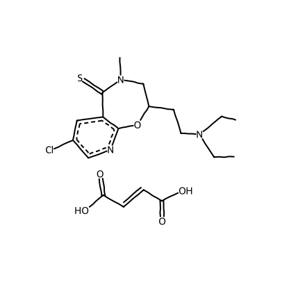 CCN(CC)CCC1CN(C)C(=S)c2cc(Cl)cnc2O1.O=C(O)C=CC(=O)O